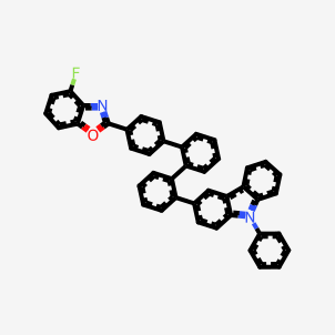 Fc1cccc2oc(-c3ccc(-c4ccccc4-c4ccccc4-c4ccc5c(c4)c4ccccc4n5-c4ccccc4)cc3)nc12